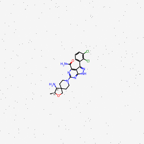 C[C@@H]1OCC2(CCN(c3nc(C(N)=O)c4c(-c5cccc(Cl)c5Cl)n[nH]c4n3)CC2)[C@@H]1N